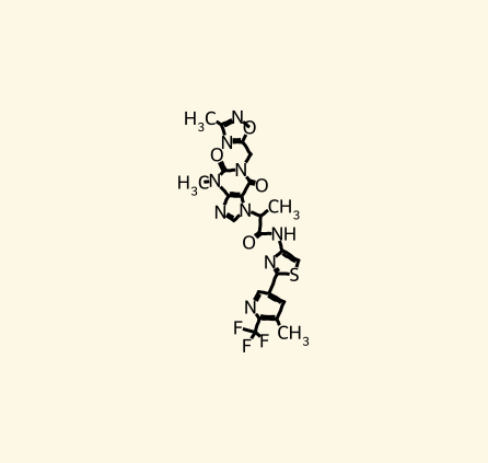 Cc1noc(Cn2c(=O)c3c(ncn3C(C)C(=O)Nc3csc(-c4cnc(C(F)(F)F)c(C)c4)n3)n(C)c2=O)n1